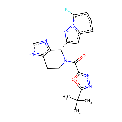 CC(C)(C)c1nnc(C(=O)N2CCc3[nH]cnc3[C@@H]2c2cc3cccc(F)n3n2)o1